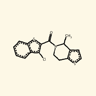 CC1c2ccsc2CCN1C(=O)c1sc2ccccc2c1Cl